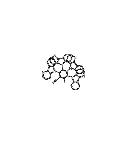 Cc1c(C#N)c(-n2c3ccccc3c3ncccc32)c(-n2c3ccccc3c3ncccc32)c(-n2c3ccccc3c3ncccc32)c1-n1c2ccccc2c2ncccc21